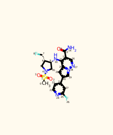 CS(=O)(=O)N1C[C@H](CF)[C@H](Nc2c(C(N)=O)cnn3cc(-c4ccnc(F)c4)cc23)C1